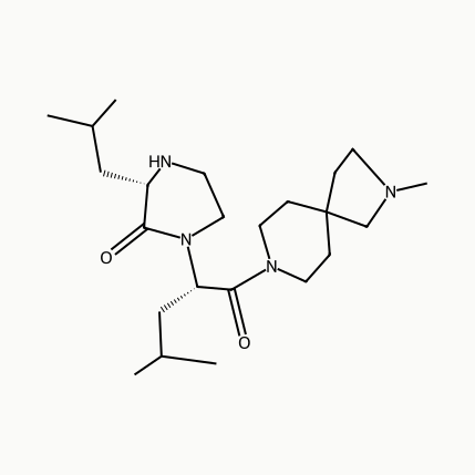 CC(C)C[C@@H]1NCCN([C@@H](CC(C)C)C(=O)N2CCC3(CCN(C)C3)CC2)C1=O